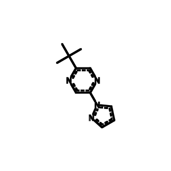 CC(C)(C)c1cnc(-n2cccn2)cn1